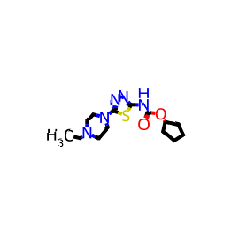 CCN1CCN(c2nnc(NC(=O)OC3CCCC3)s2)CC1